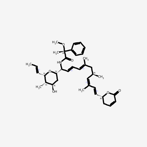 C/C=C/[C@@H]1O[C@H](C(/C=C/C=C(\C)C[C@@H](C)/C=C(C)\C=C\[C@H]2CC=CC(=O)O2)NC(=O)[C@](C)(OC)c2ccccc2)C[C@@H](O)[C@@H]1C